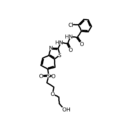 O=C(NC(=O)c1ccccc1Cl)Nc1nc2ccc(S(=O)(=O)CCOCCO)cc2s1